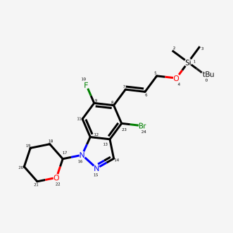 CC(C)(C)[Si](C)(C)OCC=Cc1c(F)cc2c(cnn2C2CCCCO2)c1Br